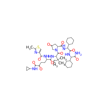 Cc1nc(C(=O)NC(CCC(=O)C(=O)NC2CC2)C(=O)NC(C(=O)N2CC(=O)C[C@H]2C(=O)NC(C(=O)NC(C(N)=O)C2CCCCC2)C2CCCCC2)C(C)(C)C)cs1